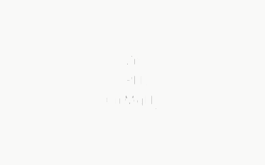 P.[Cu].[MgH2].[Zn]